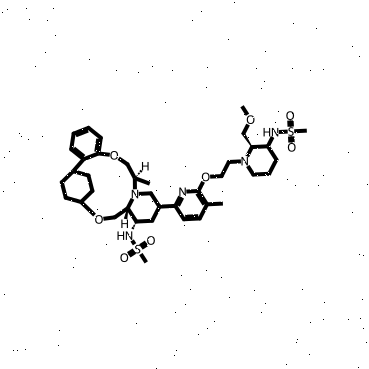 COC[C@H]1C(NS(C)(=O)=O)CCCN1CCOc1nc(C2C[C@H](NS(C)(=O)=O)[C@@H]3COC4CCC(CC4)c4ccccc4OC[C@@H](C)N3C2)ccc1C